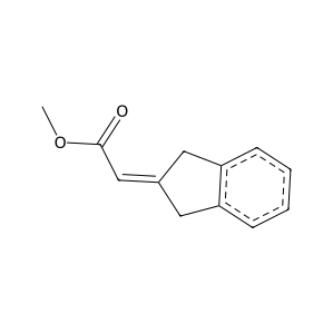 COC(=O)C=C1Cc2ccccc2C1